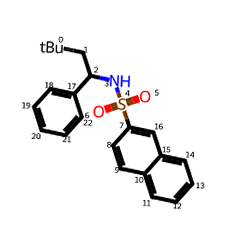 CC(C)(C)CC(NS(=O)(=O)c1ccc2ccccc2c1)c1ccccc1